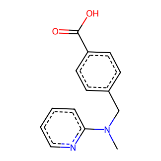 CN(Cc1ccc(C(=O)O)cc1)c1ccccn1